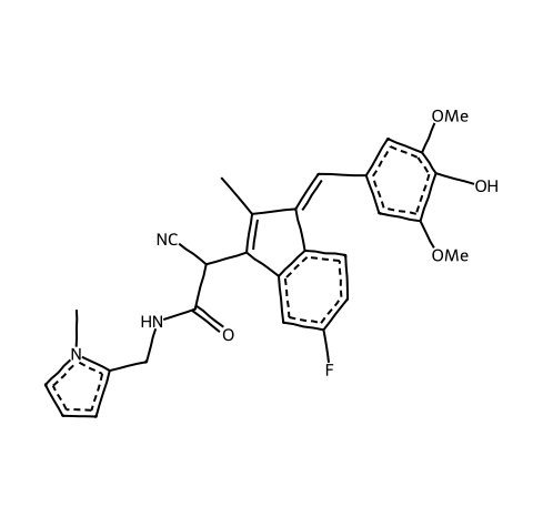 COc1cc(/C=C2/C(C)=C(C(C#N)C(=O)NCc3cccn3C)c3cc(F)ccc32)cc(OC)c1O